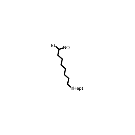 CCCCCCCCCCCCCCC(CC)N=O